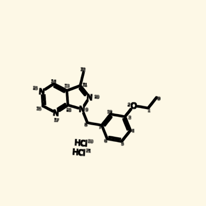 CCOc1cccc(Cn2nc(C)c3cncnc32)c1.Cl.Cl